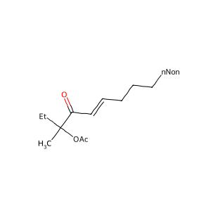 CCCCCCCCCCCCC=CC(=O)C(C)(CC)OC(C)=O